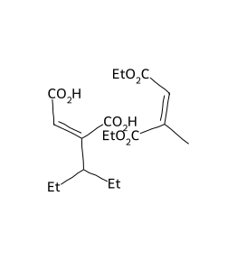 CCC(CC)/C(=C/C(=O)O)C(=O)O.CCOC(=O)/C=C(/C)C(=O)OCC